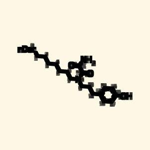 CCCCCCCCCCCCCCCCCN(CCCc1ccc(O)cc1)C(=O)C(N)=O